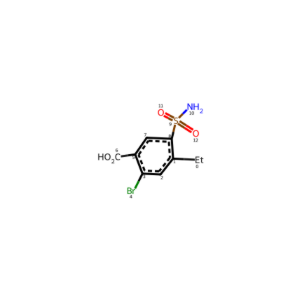 CCc1cc(Br)c(C(=O)O)cc1S(N)(=O)=O